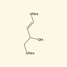 CCCCCCC=CC(O)CCCCCCC